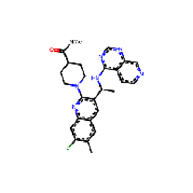 CNC(=O)C1CCN(c2nc3cc(F)c(C)cc3cc2[C@H](C)Nc2ncnc3cnccc23)CC1